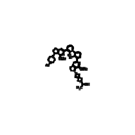 COc1nc(-c2cccc(-c3cccc(-c4cc5c(c(OC)n4)[C@@H](N4CCN(C(C)=O)CC4)CC5)c3Cl)c2Cl)cc2c1[C@H](N1CC3(CN(C(C)O)C3)C1)CC2